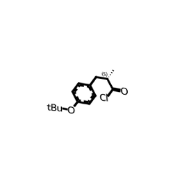 C[C@@H](Cc1ccc(OC(C)(C)C)cc1)C(=O)Cl